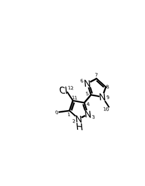 Cc1[nH]nc(-c2nccn2C)c1Cl